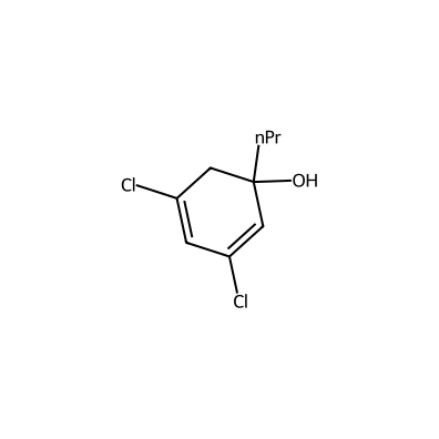 CCCC1(O)C=C(Cl)C=C(Cl)C1